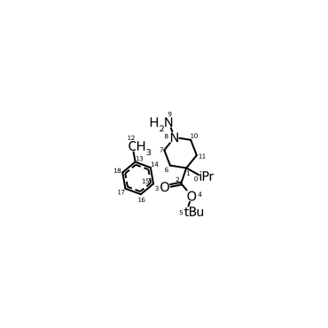 CC(C)C1(C(=O)OC(C)(C)C)CCN(N)CC1.Cc1ccccc1